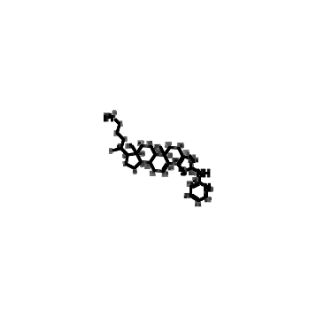 CC(C)CCCC(C)C1CCC2C3CC=C4c5sc(Nc6ccccn6)nc5CCC4(C)C3CCC12C